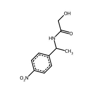 CC(NC(=O)CO)c1ccc([N+](=O)[O-])cc1